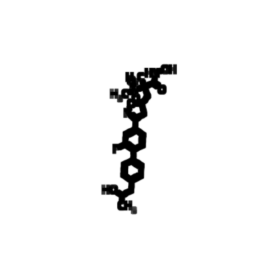 CC(O)Cc1ccc(-c2ccc(C3=NOC(CC(C)(C(=O)NO)S(C)(=O)=O)C3)cc2F)cc1